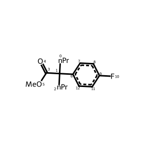 CCCC(CCC)(C(=O)OC)c1ccc(F)cc1